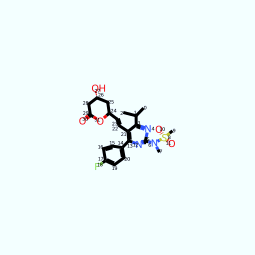 CC(C)c1nc(N(C)S(C)(=O)=O)nc(-c2ccc(F)cc2)c1/C=C/C1C[C@@H](O)CC(=O)O1